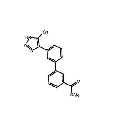 COC(=O)c1cccc(-c2cccc(-c3nn[nH]c3C#N)c2)c1